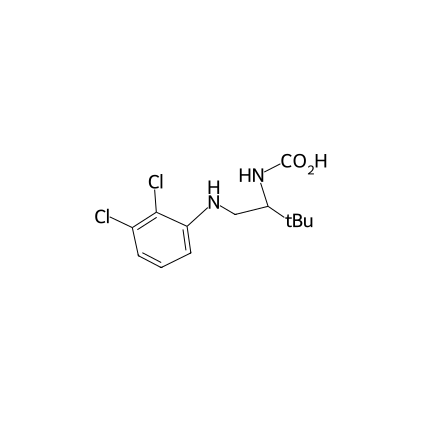 CC(C)(C)C(CNc1cccc(Cl)c1Cl)NC(=O)O